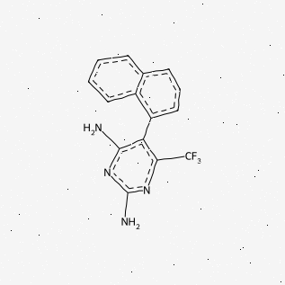 Nc1nc(N)c(-c2cccc3ccccc23)c(C(F)(F)F)n1